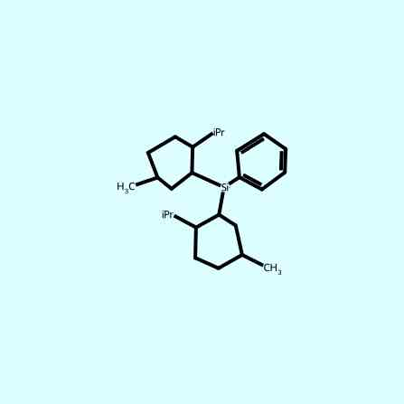 CC1CCC(C(C)C)C([Si](c2ccccc2)C2CC(C)CCC2C(C)C)C1